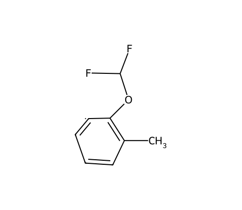 Cc1ccc[c]c1OC(F)F